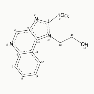 CCCCCCCCc1nc2cnc3ccccc3c2n1CCO